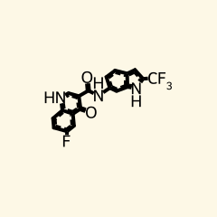 O=C(Nc1ccc2cc(C(F)(F)F)[nH]c2c1)c1c[nH]c2ccc(F)cc2c1=O